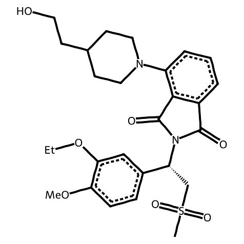 CCOc1cc([C@@H](CS(C)(=O)=O)N2C(=O)c3cccc(N4CCC(CCO)CC4)c3C2=O)ccc1OC